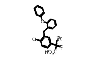 CC(C)C(F)(C(=O)O)c1ccc(Cl)c(Cc2ccccc2Oc2ccccc2)c1